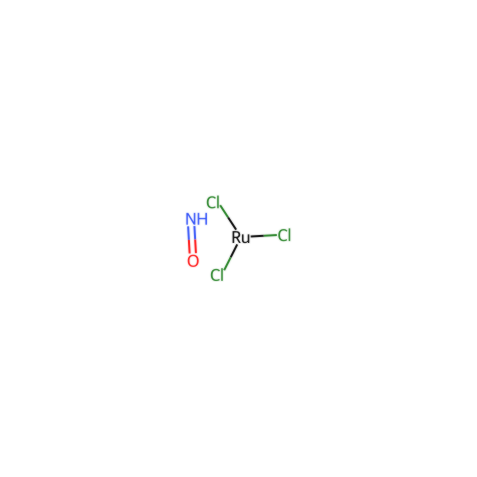 N=O.[Cl][Ru]([Cl])[Cl]